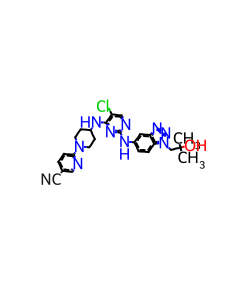 CC(C)(O)Cn1nnc2cc(Nc3ncc(Cl)c(NC4CCN(c5ccc(C#N)cn5)CC4)n3)ccc21